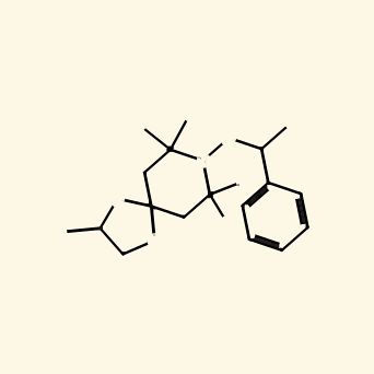 CCC1(CC)CC2(CC(C)(C)N1OC(C)c1ccccc1)OCC(C)O2